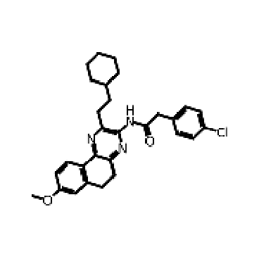 COc1ccc2c(c1)CCc1nc(NC(=O)Cc3ccc(Cl)cc3)c(CCC3CCCCC3)nc1-2